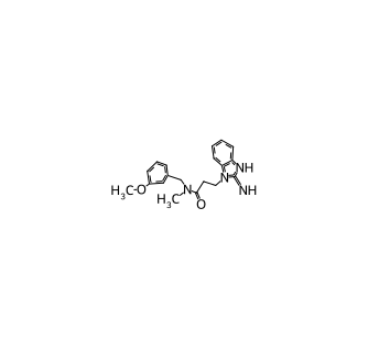 COc1cccc(CN(C)C(=O)CCn2c(=N)[nH]c3ccccc32)c1